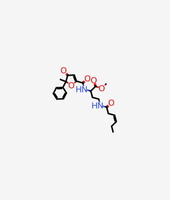 CC/C=C\CC(=O)NCCC(NC(=O)C1=CC(=O)C(C)(c2ccccc2)O1)C(=O)OC